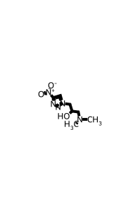 CN(C)CC(O)Cn1cc([N+](=O)[O-])nn1